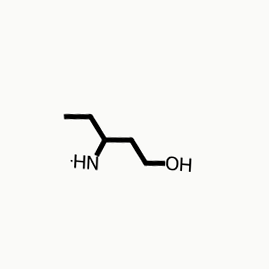 CCC([NH])CCO